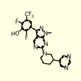 Cn1nc(-c2cc(C(F)(F)F)c(F)c(O)c2F)c2cnc(N3CCCC(c4cncnc4)C3)nc21